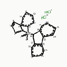 Cl.Cl.[CH2]=[Zr]([CH3])([C]1=CC=CC1)([c]1ccccc1)[CH]1c2ccccc2-c2ccccc21